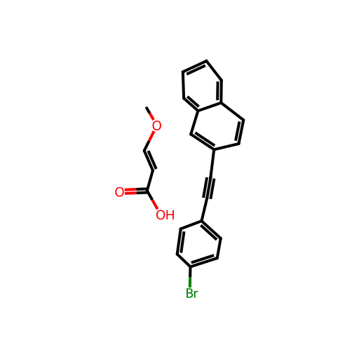 Brc1ccc(C#Cc2ccc3ccccc3c2)cc1.COC=CC(=O)O